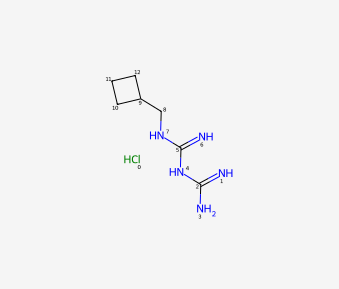 Cl.N=C(N)NC(=N)NCC1CCC1